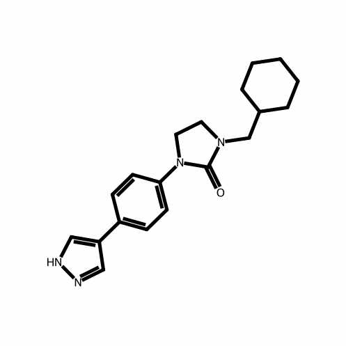 O=C1N(CC2CCCCC2)CCN1c1ccc(-c2cn[nH]c2)cc1